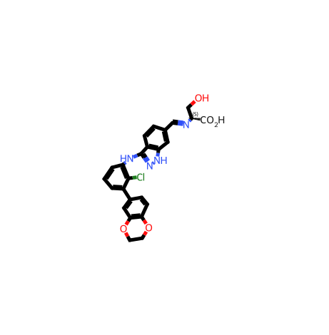 O=C(O)[C@H](CO)N=Cc1ccc2c(Nc3cccc(-c4ccc5c(c4)OCCO5)c3Cl)n[nH]c2c1